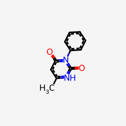 Cc1cc(=O)n(-c2ccccc2)c(=O)[nH]1